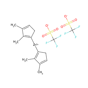 CC1=CC[C]([Zr+2][C]2=C(C)C(C)=CC2)=C1C.O=S(=O)([O-])C(F)(F)F.O=S(=O)([O-])C(F)(F)F